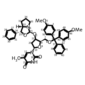 COc1ccc(C(OC[C@H]2O[C@@H](n3cc(C)c(=O)[nH]c3=O)CC2O[C@H]2O[C@H](c3ccccc3)[C@@H]3CCCN23)(c2ccccc2)c2ccc(OC)cc2)cc1